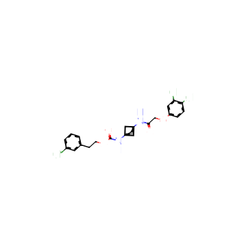 O=C(COc1ccc(Cl)c(Cl)c1)NC12CC(NC(=O)OCCc3cccc(Cl)c3)(C1)C2